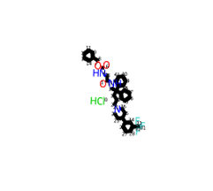 Cl.O=C(CNC(=O)OCc1ccccc1)NCC(CCCN1CCC(c2cccc(C(F)(F)F)c2)CC1)(c1ccccc1)c1ccccc1